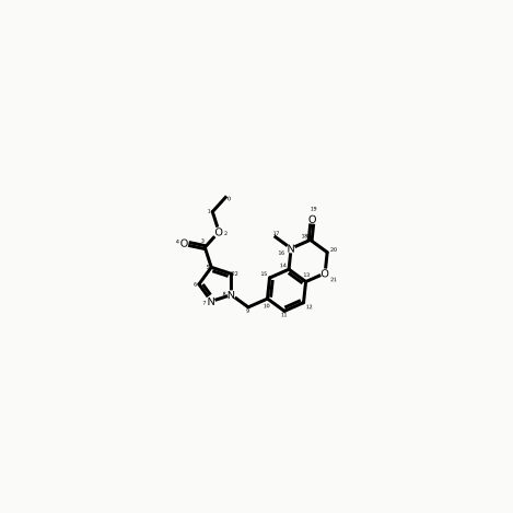 CCOC(=O)c1cnn(Cc2ccc3c(c2)N(C)C(=O)CO3)c1